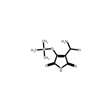 CCC([SiH3])C1=C(O[Si](C)(C)C)C(=O)NC1=O